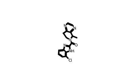 CC1c2nccnc2CCN1C(=O)c1nc2cccc(Cl)c2[nH]1